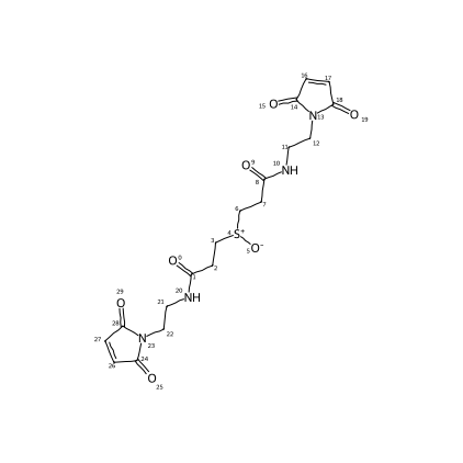 O=C(CC[S+]([O-])CCC(=O)NCCN1C(=O)C=CC1=O)NCCN1C(=O)C=CC1=O